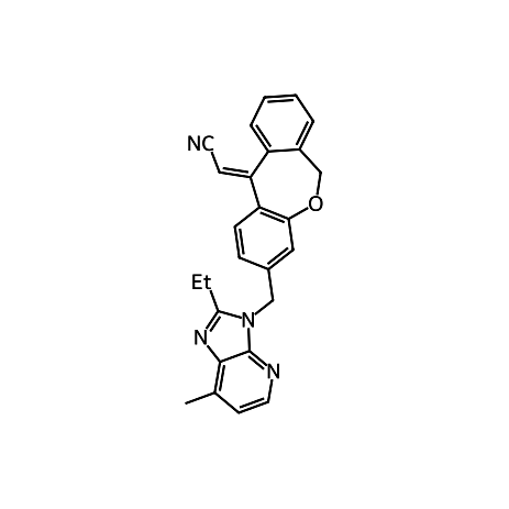 CCc1nc2c(C)ccnc2n1Cc1ccc2c(c1)OCc1ccccc1C2=CC#N